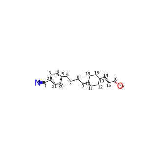 N#Cc1ccc(CCCCC2CCC(C=CC=O)CC2)cc1